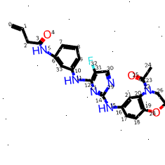 C=CCC(=O)Nc1cccc(Nc2nc(Nc3ccc4c(c3)N(C(C)=O)CCO4)ncc2F)c1